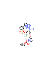 CC(C)(C)OC(=O)ON1CCC[C@@H]1COc1cc(Nc2ncc3ccc(-c4cccc(S(C)(=O)=O)c4)n3n2)ccc1Cl